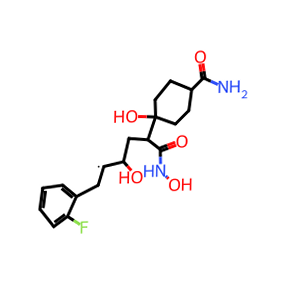 NC(=O)C1CCC(O)(C(CC(O)[CH]Cc2ccccc2F)C(=O)NO)CC1